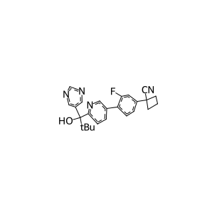 CC(C)(C)C(O)(c1cncnc1)c1ccc(-c2ccc(C3(C#N)CCC3)cc2F)cn1